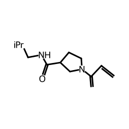 C=CC(=C)N1CCC(C(=O)NCC(C)C)C1